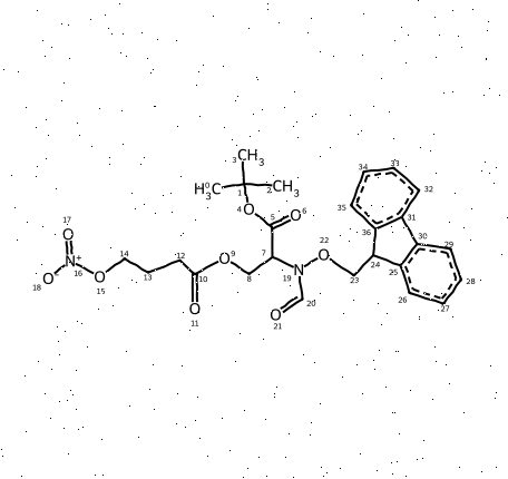 CC(C)(C)OC(=O)C(COC(=O)CCCO[N+](=O)[O-])N(C=O)OCC1c2ccccc2-c2ccccc21